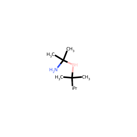 CC(C)C(C)(C)BC(C)(C)N